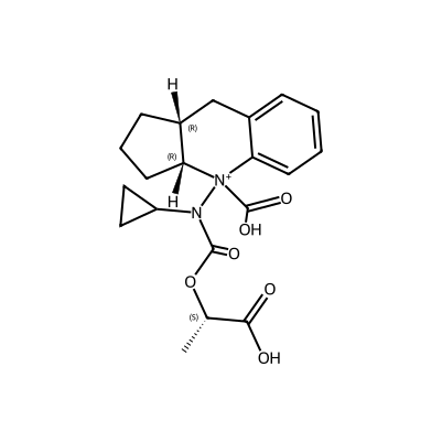 C[C@H](OC(=O)N(C1CC1)[N+]1(C(=O)O)c2ccccc2C[C@H]2CCC[C@H]21)C(=O)O